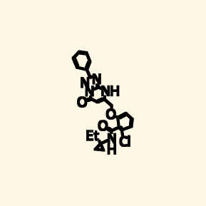 CCC1(NC(=O)c2c(Cl)cccc2OCc2cc(=O)n3nc(-c4ccccc4)nc3[nH]2)CC1